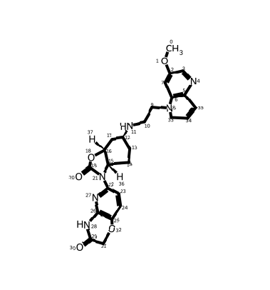 COc1cnc2c(c1)N(CCN[C@H]1CC[C@H]3[C@@H](C1)OC(=O)N3c1ccc3c(n1)NC(=O)CO3)CC=C2